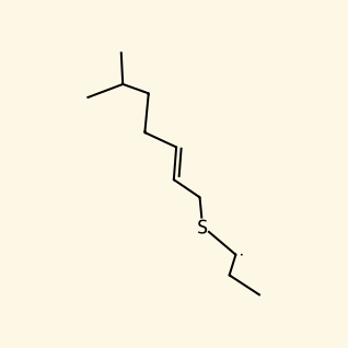 CC[CH]SCC=CCCC(C)C